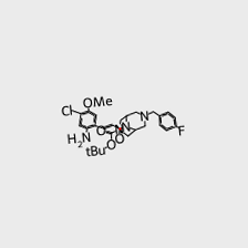 COc1cc(C=CC(=O)N2C3CN(Cc4ccc(F)cc4)CC2CN(C(=O)OC(C)(C)C)C3)c(N)cc1Cl